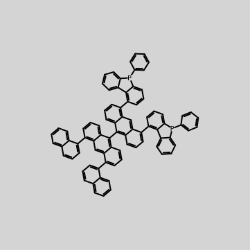 c1ccc(-p2c3ccccc3c3c(-c4cccc5c(-c6c7cccc(-c8cccc9ccccc89)c7cc7c(-c8cccc9ccccc89)cccc67)c6cccc(-c7cccc8c7c7ccccc7p8-c7ccccc7)c6cc45)cccc32)cc1